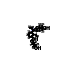 C=Cc1c(BOC(C)(C)C(C)(C)O)cccc1/C(BOC(C)(C)C(C)(C)O)=C\C